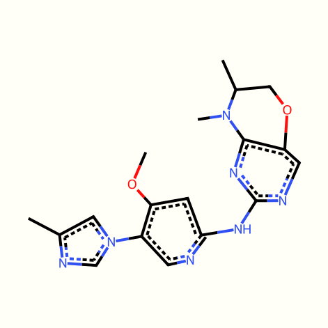 COc1cc(Nc2ncc3c(n2)N(C)C(C)CO3)ncc1-n1cnc(C)c1